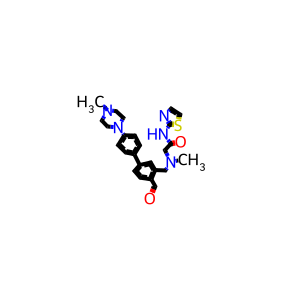 CN1CCN(c2ccc(-c3ccc(C=O)c(CN(C)CC(=O)Nc4nccs4)c3)cc2)CC1